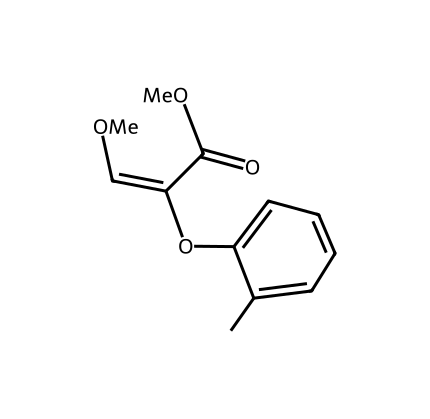 CO/C=C(/Oc1ccccc1C)C(=O)OC